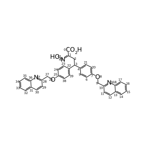 O=C(O)C(CC(c1ccc(OCc2ccc3ccccc3n2)cc1)c1ccc(OCc2ccc3ccccc3n2)cc1)=NO